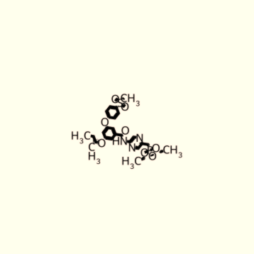 CCOP(=O)(Cc1cnc(NC(=O)c2cc(Oc3ccc(S(C)(=O)=O)cc3)cc(O[C@@H](C)CC)c2)cn1)OCC